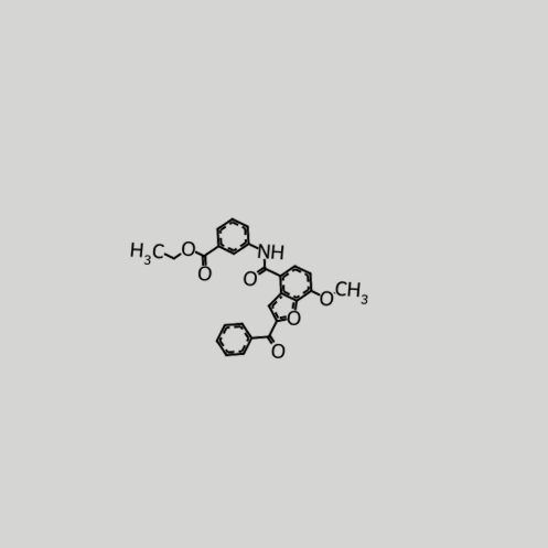 CCOC(=O)c1cccc(NC(=O)c2ccc(OC)c3oc(C(=O)c4ccccc4)cc23)c1